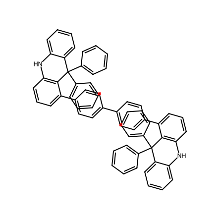 c1ccc(C2(c3ccccc3)c3ccccc3Nc3cccc(-c4ccc(-c5ccc(-c6cccc7c6C(c6ccccc6)(c6ccccc6)c6ccccc6N7)cc5)cc4)c32)cc1